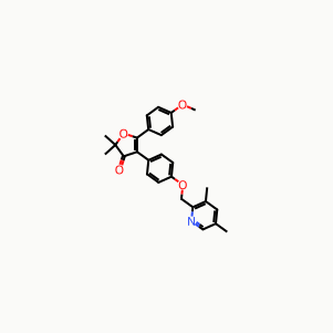 COc1ccc(C2=C(c3ccc(OCc4ncc(C)cc4C)cc3)C(=O)C(C)(C)O2)cc1